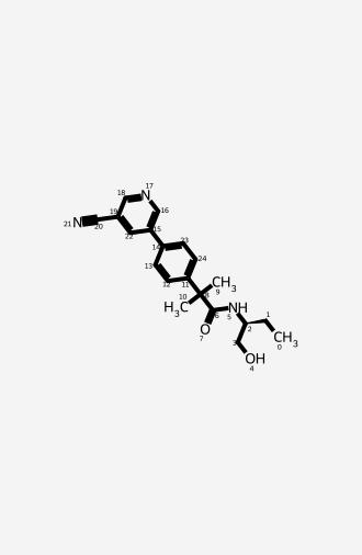 CC[C@@H](CO)NC(=O)C(C)(C)c1ccc(-c2cncc(C#N)c2)cc1